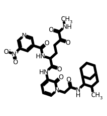 CNC(=O)C(=O)CCC(NC(=O)c1cncc([N+](=O)[O-])c1)C(=O)Nc1cccn(CC(=O)NC2C(C)CC3CCCC2C3)c1=O